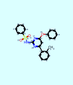 Cc1ccccc1-c1cc(Oc2ccccc2)nc(NS(=O)(=O)c2ccccc2)n1